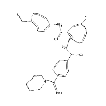 N=C(c1ccc(C(=O)Nc2ccc(F)cc2C(=O)Nc2ccc(CI)cc2)cc1)N1CCCCC1